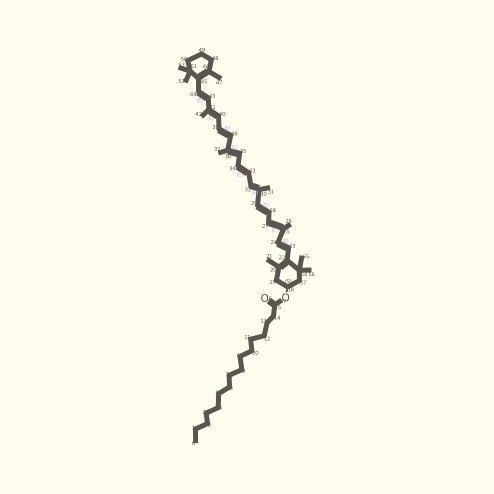 CCCCCCCCCCCCCCCC(=O)O[C@@H]1CC(C)=C(/C=C/C(C)=C/C=C/C(C)=C/C=C/C=C(C)/C=C/C=C(C)/C=C/C2=C(C)CCCC2(C)C)C(C)(C)C1